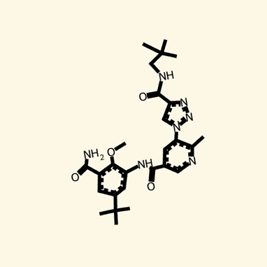 COc1c(NC(=O)c2cnc(C)c(-n3cc(C(=O)NCC(C)(C)C)nn3)c2)cc(C(C)(C)C)cc1C(N)=O